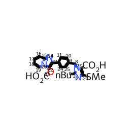 CCCCc1nc(SC)c(C(=O)O)n1Cc1ccc(-c2nc3ccccn3c2OC(=O)O)cc1